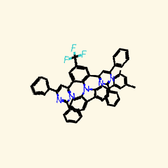 Cc1cc(C)cc(-c2ccc3c4ccccc4n(-c4c(-c5cc(-c6ccccc6)nc(-c6ccccc6)n5)cc(C(F)(F)F)cc4-c4cc(-c5ccccc5)nc(-c5ccccc5)n4)c3c2)c1